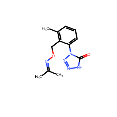 CC(C)=NOCc1c(C)cccc1-n1nn[nH]c1=O